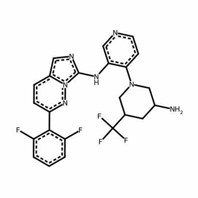 NC1CC(C(F)(F)F)CN(c2ccncc2Nc2ncc3ccc(-c4c(F)cccc4F)nn23)C1